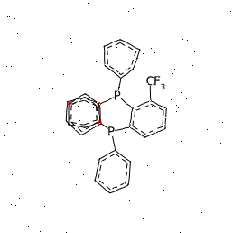 FC(F)(F)c1cccc(P(c2ccccc2)c2ccccc2)c1P(c1ccccc1)c1ccccc1